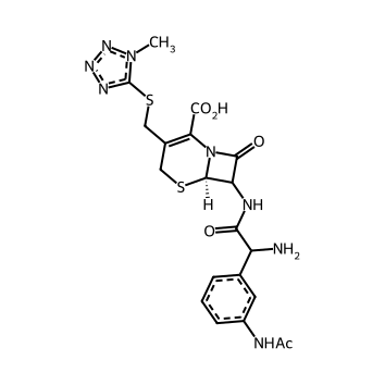 CC(=O)Nc1cccc(C(N)C(=O)NC2C(=O)N3C(C(=O)O)=C(CSc4nnnn4C)CS[C@H]23)c1